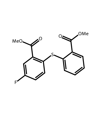 COC(=O)c1ccccc1Sc1ccc(F)cc1C(=O)OC